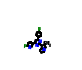 CC1CN2CCCC2C1c1nc(-c2ccc(F)cc2)cc(-c2ccc(F)nc2)n1